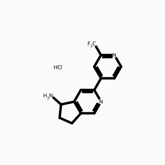 Cl.NC1CCc2cnc(-c3ccnc(C(F)(F)F)c3)cc21